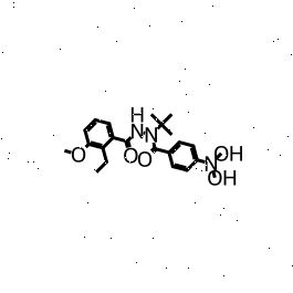 CCc1c(OC)cccc1C(=O)NN(C(=O)c1ccc(N(O)O)cc1)C(C)(C)C